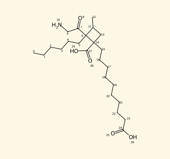 CCCCCCC1(C(=O)CN)C(C)CC1(CCCCCCCCCC(=O)O)C(=O)O